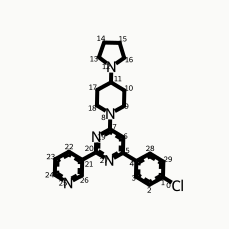 Clc1ccc(-c2cc(N3CCC(N4CCCC4)CC3)nc(-c3cccnc3)n2)cc1